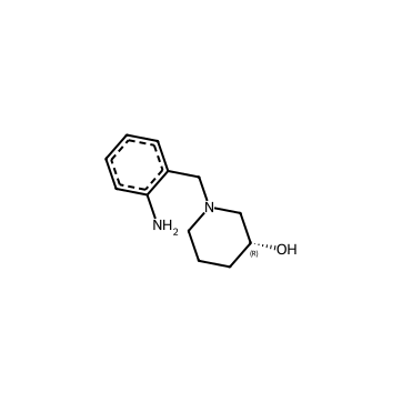 Nc1ccccc1CN1CCC[C@@H](O)C1